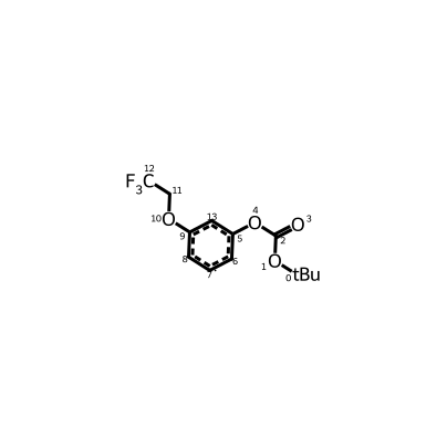 CC(C)(C)OC(=O)Oc1c[c]cc(OCC(F)(F)F)c1